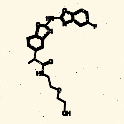 CC(C(=O)NCCOCCO)c1ccc2oc(Nc3nc4cc(F)ccc4o3)nc2c1